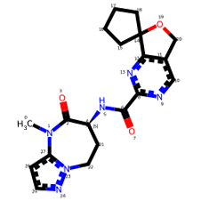 CN1C(=O)[C@@H](NC(=O)c2ncc3c(n2)C2(CCCC2)OC3)CCn2nccc21